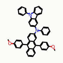 COc1ccc(-c2c3ccccc3c(-c3ccc(OC)cc3)c3cc(N(c4ccccc4)c4ccc5c(c4)c4ccccc4n5-c4ccccc4)ccc23)cc1